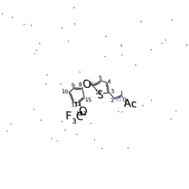 CC(=O)/C=C/c1ccc(Oc2cccc(OC(F)(F)F)c2)s1